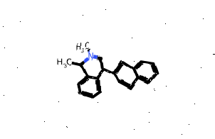 CC1c2ccccc2C(c2ccc3ccccc3c2)CN1C